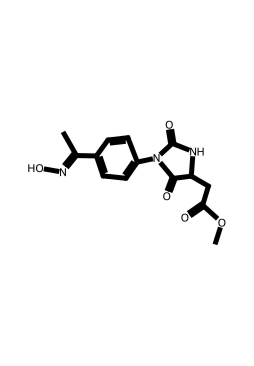 COC(=O)CC1NC(=O)N(c2ccc(C(C)=NO)cc2)C1=O